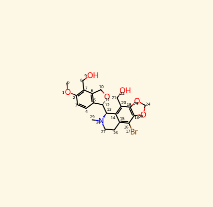 COc1ccc2c(c1CO)CO[C@@H]2[C@H]1c2c(c(Br)c3c(c2CO)OCO3)CCN1C